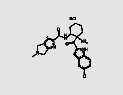 CN1Cc2nc(C(=O)NC3CCCCC3(N)C(=O)c3cc4cc(Cl)ccc4[nH]3)sc2C1.Cl